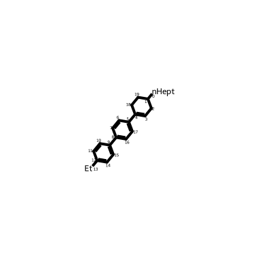 CCCCCCCC1CC=C(c2ccc(-c3ccc(CC)cc3)cc2)CC1